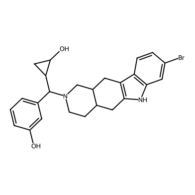 Oc1cccc(C(C2CC2O)N2CCC3Cc4[nH]c5cc(Br)ccc5c4CC3C2)c1